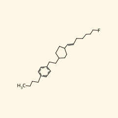 CCCCc1ccc(CCC2CCC(C=CCCCCCF)CC2)cc1